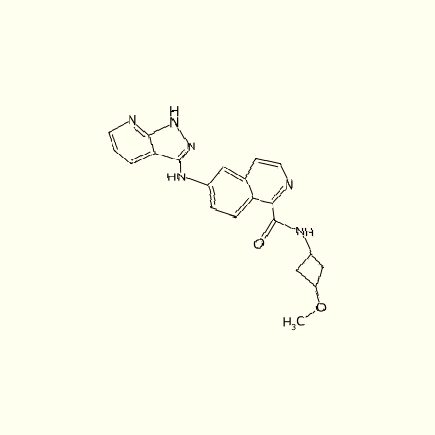 COC1CC(NC(=O)c2nccc3cc(Nc4n[nH]c5ncccc45)ccc23)C1